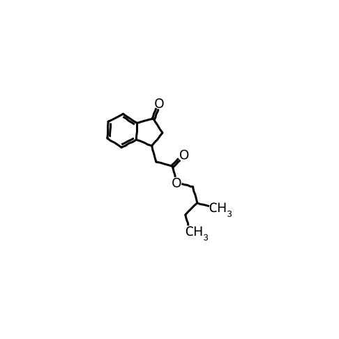 CCC(C)COC(=O)CC1CC(=O)c2ccccc21